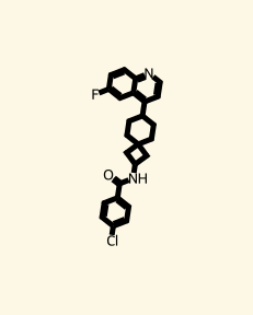 O=C(NC1CC2(CCC(c3ccnc4ccc(F)cc34)CC2)C1)c1ccc(Cl)cc1